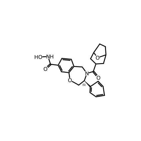 O=C(NO)c1ccc2c(c1)OC[C@H](c1ccccc1)N(C(=O)C1CC3CCC(C1)O3)C2